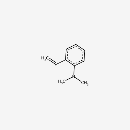 C=[C]c1ccccc1N(C)C